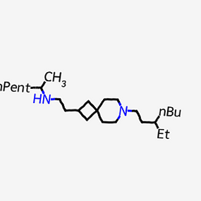 CCCCCC(C)NCCC1CC2(CCN(CCC(CC)CCCC)CC2)C1